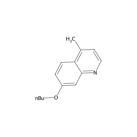 CCCCOc1ccc2c(C)ccnc2c1